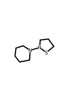 C1CCN(N2CCCS2)CC1